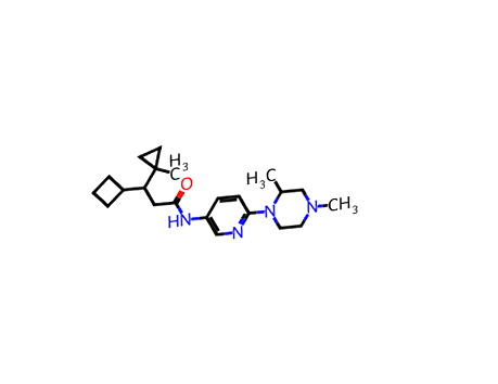 CC1CN(C)CCN1c1ccc(NC(=O)CC(C2CCC2)C2(C)CC2)cn1